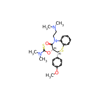 COc1ccc([C@H]2Sc3ccccc3N(CCN(C)C)C(=O)[C@H]2OC(=S)N(C)C)cc1